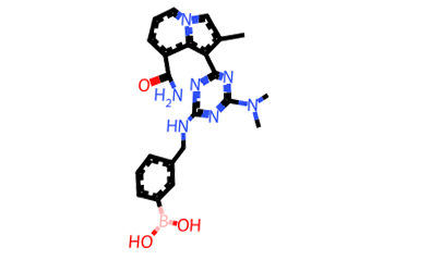 Cc1cn2cccc(C(N)=O)c2c1-c1nc(NCc2cccc(B(O)O)c2)nc(N(C)C)n1